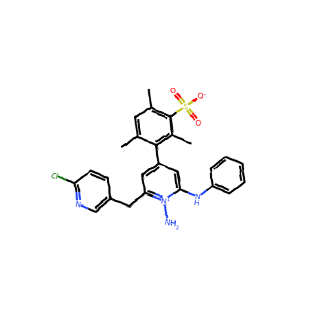 Cc1cc(C)c(S(=O)(=O)[O-])c(C)c1-c1cc(Cc2ccc(Cl)nc2)[n+](N)c(Nc2ccccc2)c1